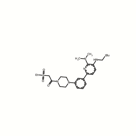 CCS(=O)(=O)CC(=O)N1CCN(c2cccc(-c3ccc(NCC(C)(C)C)c(N(C)C)n3)c2)CC1